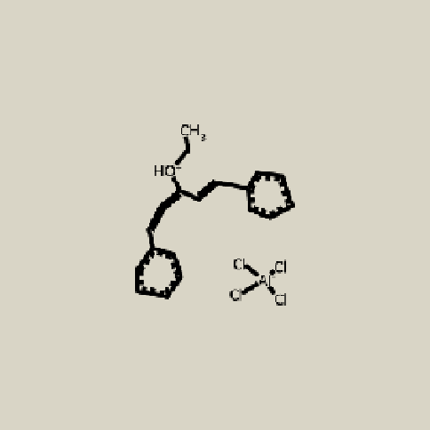 CC[OH+]C(=C=Cc1ccccc1)C=Cc1ccccc1.[Cl][Al-]([Cl])([Cl])[Cl]